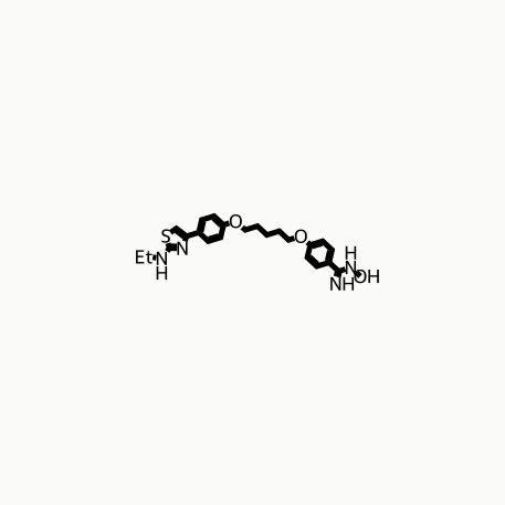 CCNc1nc(-c2ccc(OCCCCCOc3ccc(C(=N)NO)cc3)cc2)cs1